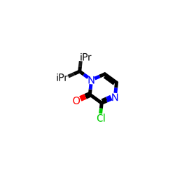 CC(C)C(C(C)C)n1ccnc(Cl)c1=O